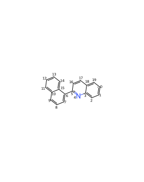 [c]1ccc2nc(-c3cccc4ccccc34)ccc2c1